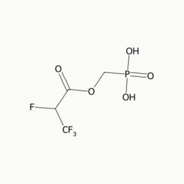 O=C(OCP(=O)(O)O)C(F)C(F)(F)F